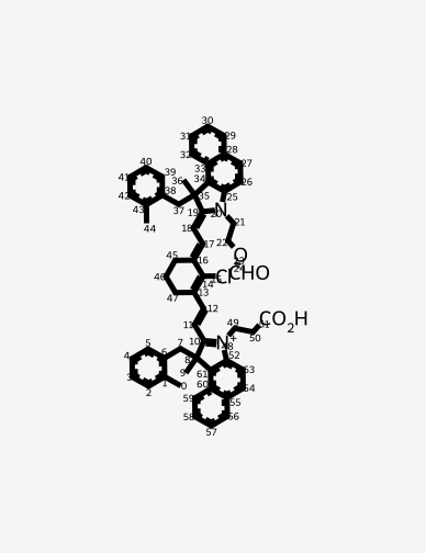 Cc1ccccc1CC1(C)C(/C=C/C2=C(Cl)C(=C/C=C3\N(CCOC=O)c4ccc5ccccc5c4C3(C)Cc3ccccc3C)/CCC2)=[N+](CCC(=O)O)c2ccc3ccccc3c21